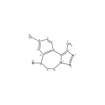 Cc1nnn2c1-c1ccc(Cl)cc1C(Br)CC2